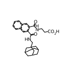 O=C(O)CCNC(=O)c1cc2ccccc2cc1C(=O)NCC12CC3CC(CC(C3)C1)C2